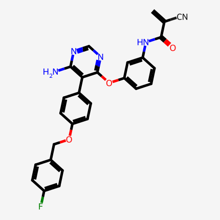 C=C(C#N)C(=O)Nc1cccc(Oc2ncnc(N)c2-c2ccc(OCc3ccc(F)cc3)cc2)c1